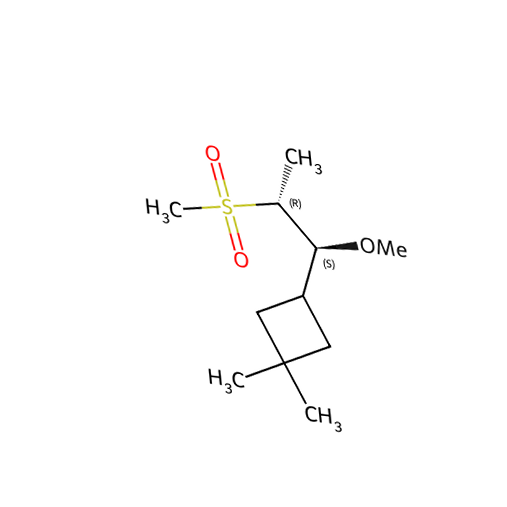 CO[C@@H](C1CC(C)(C)C1)[C@@H](C)S(C)(=O)=O